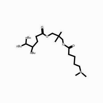 [CH2]C([CH2])(COC(=O)CCCCN(C)C)COC(=O)CCC(CCCC)C(CCCC)CCCC